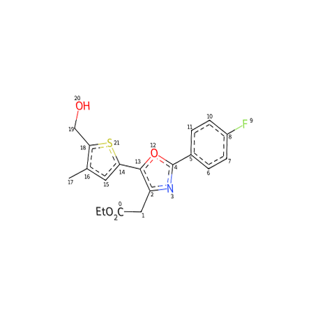 CCOC(=O)Cc1nc(-c2ccc(F)cc2)oc1-c1cc(C)c(CO)s1